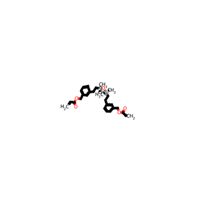 C=CC(=O)OCc1cccc(CC[Si](C)(C)O[Si](C)(C)CCc2cccc(COC(=O)C=C)c2)c1